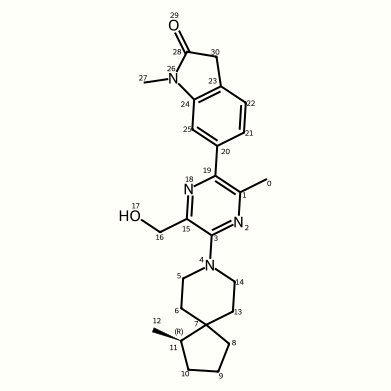 Cc1nc(N2CCC3(CCC[C@H]3C)CC2)c(CO)nc1-c1ccc2c(c1)N(C)C(=O)C2